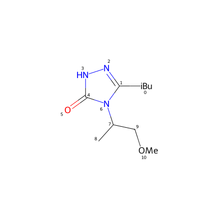 CCC(C)c1n[nH]c(=O)n1C(C)COC